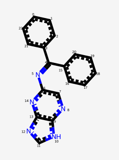 c1ccc(C(=Nc2cnc3[nH]cnc3n2)c2ccccc2)cc1